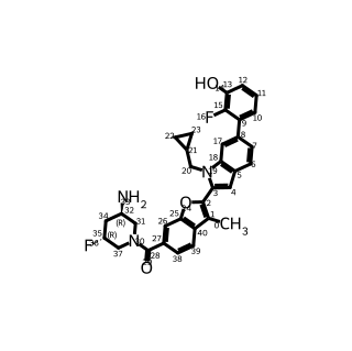 Cc1c(-c2cc3ccc(-c4cccc(O)c4F)cc3n2CC2CC2)oc2cc(C(=O)N3C[C@H](N)C[C@@H](F)C3)ccc12